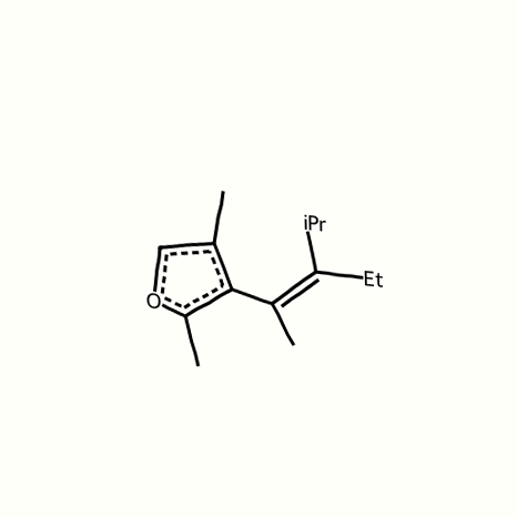 CC/C(=C(\C)c1c(C)coc1C)C(C)C